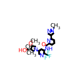 CCn1cc(-c2cccc(C(=O)Nc3cc(N4C[C@@H](C(C)(C)O)[C@H](OC)C4)cnc3C(F)(F)F)n2)cn1